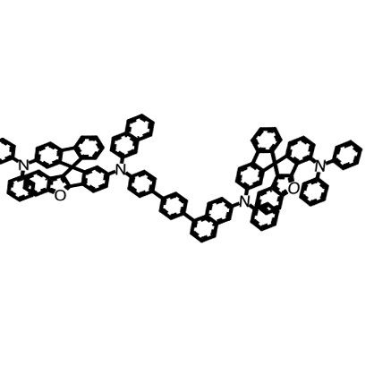 c1ccc(N(c2ccccc2)c2ccc3c(c2)C2(c4ccccc4-3)c3cc(N(c4ccc(-c5ccc(-c6cccc7cc(N(c8ccccc8)c8ccc9c(c8)C8(c%10ccccc%10-9)c9cccc(N(c%10ccccc%10)c%10ccccc%10)c9-c9oc%10ccccc%10c98)ccc67)cc5)cc4)c4ccc5ccccc5c4)ccc3-c3oc4ccccc4c32)cc1